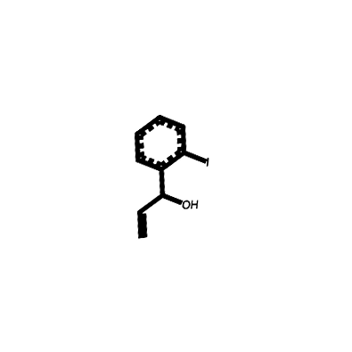 C=CC(O)c1ccccc1I